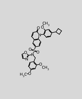 COc1ccc(CN(c2ncco2)S(=O)(=O)c2ccc3c(ccc(=O)n3-c3ccc(C4CCC4)cc3OC)c2)c(OC)c1